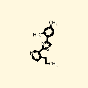 CCCc1ccncc1-c1nc(-c2ccc(C)cc2C)cs1